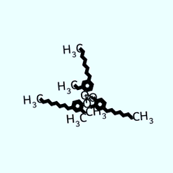 CCCCCCCCc1ccc(OP(Oc2ccc(CCCCCCCC)cc2CC)Oc2ccc(CCCCCCCC)cc2CC)c(CC)c1